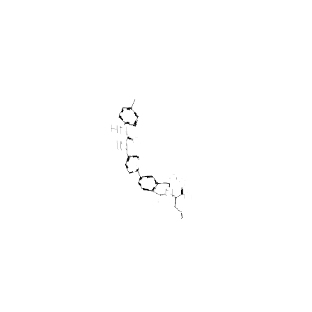 CCCC(C(=O)O)N1C(=O)c2cc(-c3ccc(NC(=O)Nc4ccc(C)cc4)cc3)ccc2[C@@H]1C